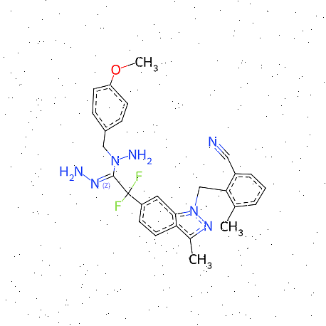 COc1ccc(CN(N)/C(=N\N)C(F)(F)c2ccc3c(C)nn(Cc4c(C)cccc4C#N)c3c2)cc1